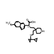 COc1ccc2cc([C@H](CCC3(CCSC4(C5CC5)CC4)CCNCC3)C(=O)O)ccc2c1